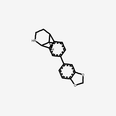 C[C@H]1C2CCNC1c1cc(-c3ccc4c(c3)OCO4)ccc12